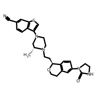 C[C@@H]1CN(c2csc3cc(C#N)ccc23)CCN1CC[C@@H]1OCCc2cc(N3CCNC3=O)ccc21